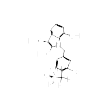 Cc1c(C)n(Cc2ccc(C(F)(F)P(=O)(O)O)c(Br)c2)c2c(C)cccc12